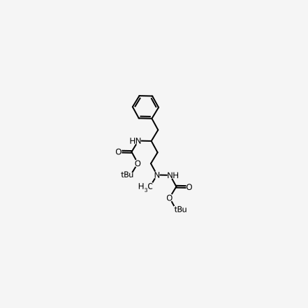 CN(CCC(Cc1ccccc1)NC(=O)OC(C)(C)C)NC(=O)OC(C)(C)C